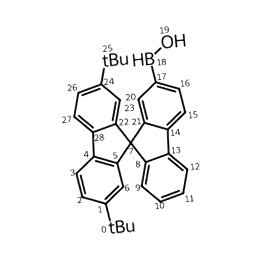 CC(C)(C)c1ccc2c(c1)C1(c3ccccc3-c3ccc(BO)cc31)c1cc(C(C)(C)C)ccc1-2